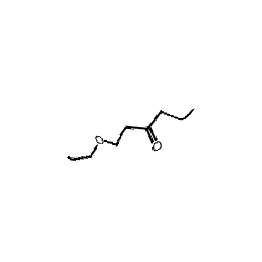 CCCC(=O)CCOCC